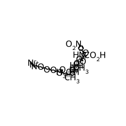 C[C@H](CCC(=O)OCCOCCOCCOCCN=[N+]=[N-])C1CC[C@H]2[C@@H]3CC[C@@H]4C[C@H](OC(=O)[C@H](CC(=O)O)NC(=O)c5ccc([N+](=O)[O-])cc5)CC[C@]4(C)[C@H]3CC[C@]12C